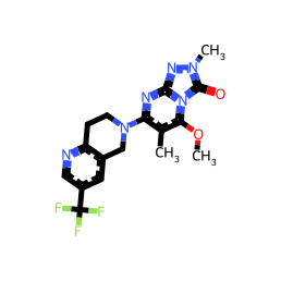 COc1c(C)c(N2CCc3ncc(C(F)(F)F)cc3C2)nc2nn(C)c(=O)n12